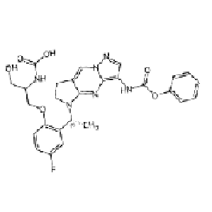 C[C@H](c1cc(F)ccc1OCC(CO)NC(=O)O)N1CCc2cn3ncc(NC(=O)Oc4ccccc4)c3nc21